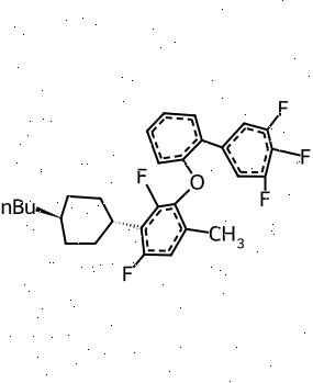 CCCC[C@H]1CC[C@H](c2c(F)cc(C)c(Oc3ccccc3-c3cc(F)c(F)c(F)c3)c2F)CC1